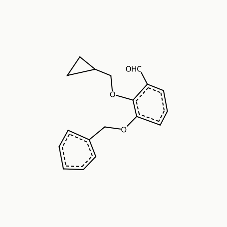 O=Cc1cccc(OCc2ccccc2)c1OCC1CC1